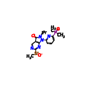 CC(C)n1c(=O)c2cnc([S+](C)[O-])nc2n1-c1cccc(P(C)(C)=O)n1